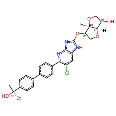 CC[C@@](C)(O)c1ccc(-c2ccc(-c3nc4nc(O[C@@H]5CO[C@H]6[C@@H]5OC[C@H]6O)[nH]c4cc3Cl)cc2)cc1